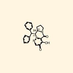 O=C1c2c(O)c(=O)cnn2[C@@H](C(c2ccccc2)c2ccccc2)[C@H]2CCCN12